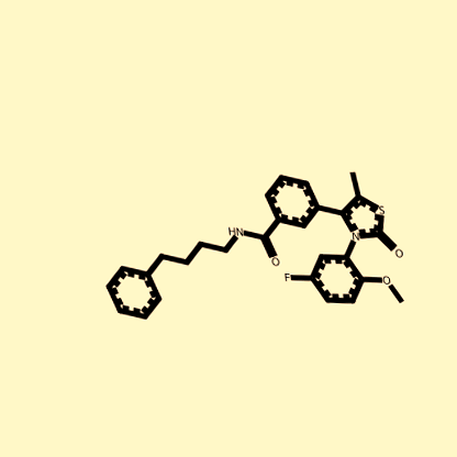 COc1ccc(F)cc1-n1c(-c2cccc(C(=O)NCCCCc3ccccc3)c2)c(C)sc1=O